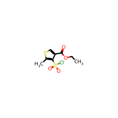 CCOC(=O)c1csc(C)c1S(=O)(=O)Cl